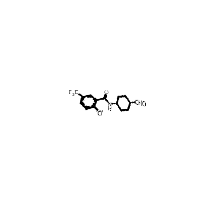 O=C[C@H]1CC[C@@H](NC(=O)c2cc(C(F)(F)F)ccc2Cl)CC1